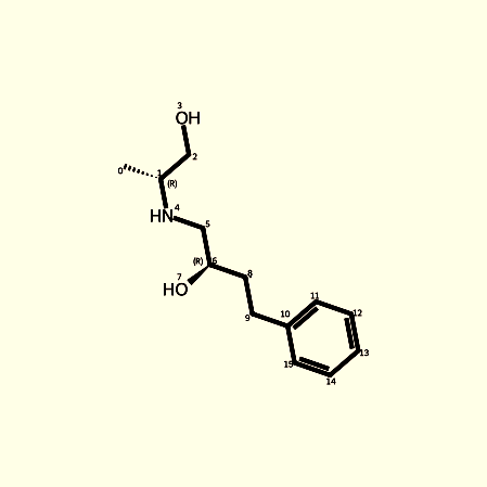 C[C@H](CO)NC[C@H](O)[CH]Cc1ccccc1